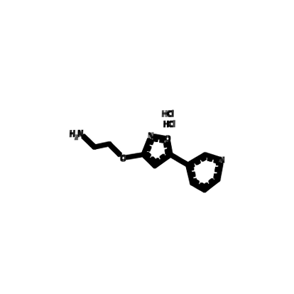 Cl.Cl.NCCOc1cc(-c2cccnc2)on1